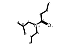 [CH2]CCC(=O)N(CCC)CC(C)C